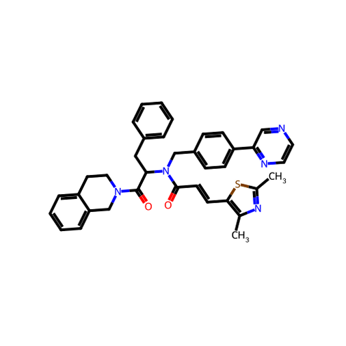 Cc1nc(C)c(C=CC(=O)N(Cc2ccc(-c3cnccn3)cc2)C(Cc2ccccc2)C(=O)N2CCc3ccccc3C2)s1